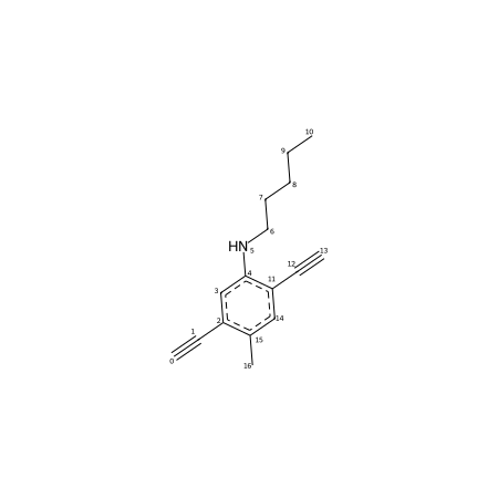 C#Cc1cc(NCCCCC)c(C#C)cc1C